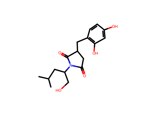 CC(C)CC(CO)N1C(=O)CC(Cc2ccc(O)cc2O)C1=O